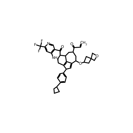 C=CC(=O)C1CC(OC2CC3(COC3)C2)C2=CC(c3ccc(C4CCC4)cc3)C3=C2C(C1)C(C(=O)c1cnc(C(F)(F)F)cc1N)CC3